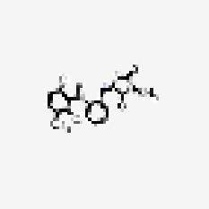 Cc1ccc(Cl)c(Nc2ccccc2/C=C2/SC(=S)N(C)C2=O)c1Cl